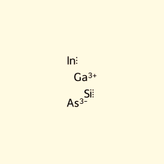 [As-3].[Ga+3].[In].[Si]